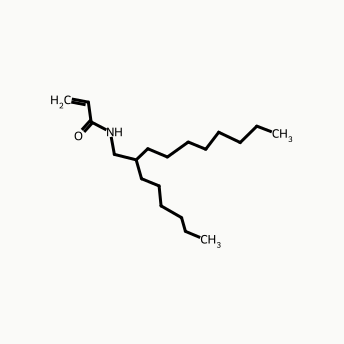 C=CC(=O)NCC(CCCCCC)CCCCCCCC